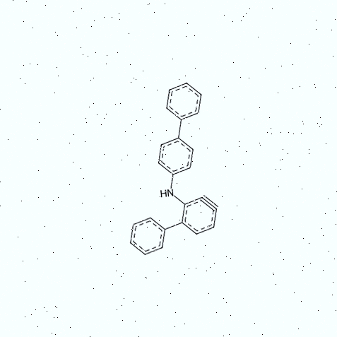 c1ccc(-c2ccccc2)c(Nc2ccc(-c3ccccc3)cc2)c#1